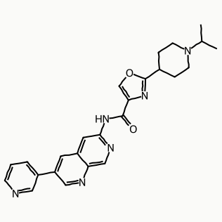 CC(C)N1CCC(c2nc(C(=O)Nc3cc4cc(-c5cccnc5)cnc4cn3)co2)CC1